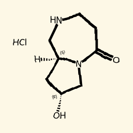 Cl.O=C1CCNC[C@@H]2C[C@@H](O)CN12